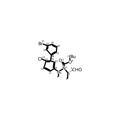 C[C@@H](C=O)N(C(=O)OC(C)(C)C)N(C)c1ccc(Cl)c(-c2cccc(Br)c2)c1